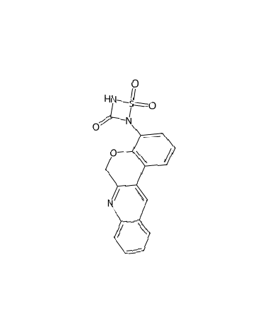 O=C1NS(=O)(=O)N1c1cccc2c1OCc1nc3ccccc3cc1-2